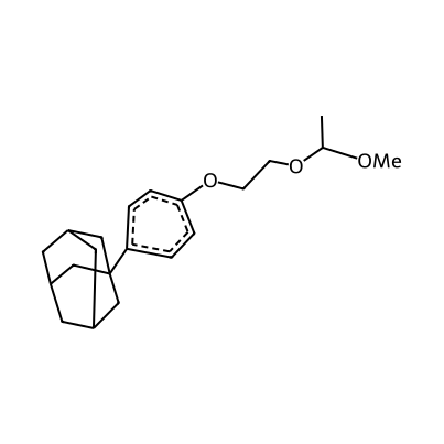 COC(C)OCCOc1ccc(C23CC4CC(CC(C4)C2)C3)cc1